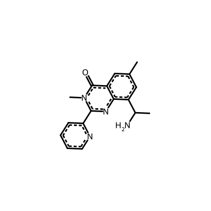 Cc1cc(C(C)N)c2nc(-c3ccccn3)n(C)c(=O)c2c1